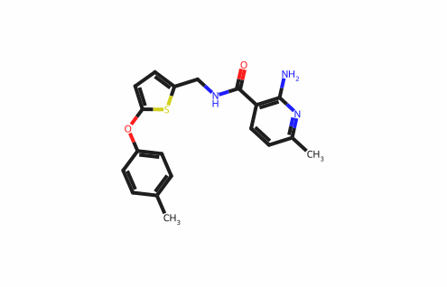 Cc1ccc(Oc2ccc(CNC(=O)c3ccc(C)nc3N)s2)cc1